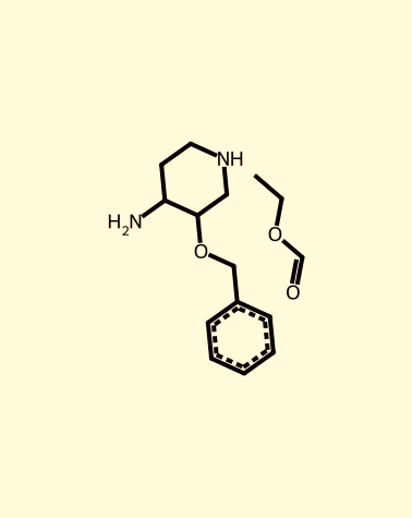 CCOC=O.NC1CCNCC1OCc1ccccc1